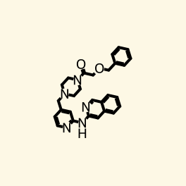 O=C(COCc1ccccc1)N1CCN(Cc2ccnc(Nc3cc4ccccc4cn3)c2)CC1